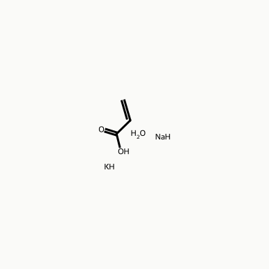 C=CC(=O)O.O.[KH].[NaH]